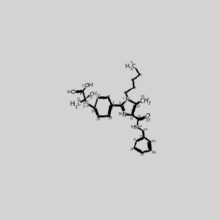 CCCCCn1c(-c2ccc(SC(C)(C)C(=O)O)cc2)nc(C(=O)NCc2ccccc2)c1C